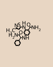 Cc1cc(Nc2cc(NC(C(N)=O)c3ccccc3)ccc2C(N)=O)sn1